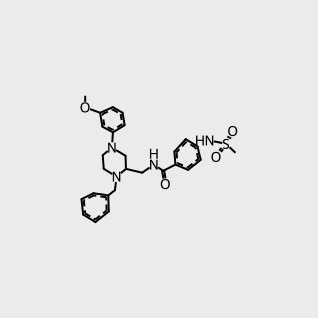 COc1cccc(N2CCN(Cc3ccccc3)C(CNC(=O)c3ccc(NS(C)(=O)=O)cc3)C2)c1